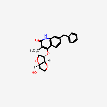 CCOC(=O)c1c(O[C@H]2CO[C@H]3[C@@H]2OC[C@@H]3O)c2ccc(Cc3ccccc3)cc2[nH]c1=O